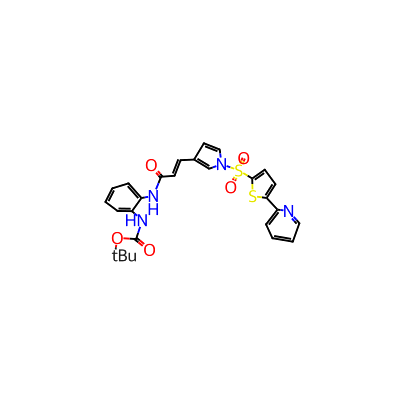 CC(C)(C)OC(=O)Nc1ccccc1NC(=O)C=Cc1ccn(S(=O)(=O)c2ccc(-c3ccccn3)s2)c1